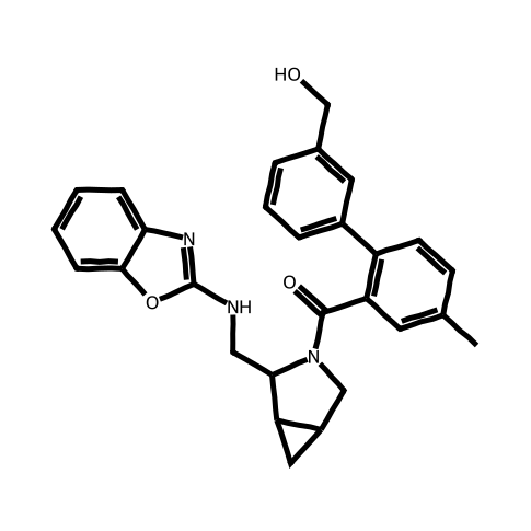 Cc1ccc(-c2cccc(CO)c2)c(C(=O)N2CC3CC3C2CNc2nc3ccccc3o2)c1